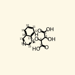 O=C(O)C(O)C(O)C(=O)O.c1ccc2ncncc2c1